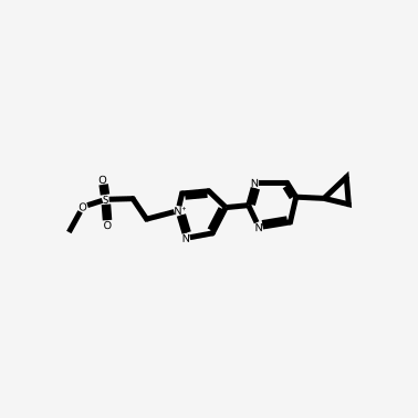 COS(=O)(=O)CC[n+]1ccc(-c2ncc(C3CC3)cn2)cn1